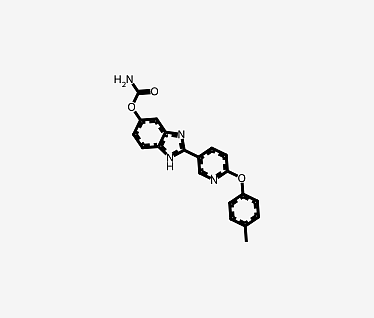 Cc1ccc(Oc2ccc(-c3nc4cc(OC(N)=O)ccc4[nH]3)cn2)cc1